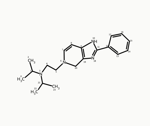 CC(C)N(CCN1C=Cc2[nH]c(-c3ccccc3)nc2C1)C(C)C